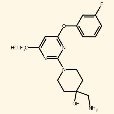 Cl.NCC1(O)CCN(c2nc(Oc3cccc(F)c3)cc(C(F)(F)F)n2)CC1